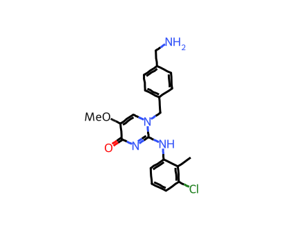 COc1cn(Cc2ccc(CN)cc2)c(Nc2cccc(Cl)c2C)nc1=O